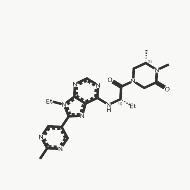 CC[C@H](Nc1ncnc2c1nc(-c1cnc(C)nc1)n2CC)C(=O)N1CC(=O)N(C)[C@@H](C)C1